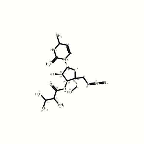 C=C1NC(N)C=CN1[C@@H]1O[C@@](CO)(CN=[N+]=[N-])[C@@H](OC(=O)C(N)C(C)C)[C@H]1F